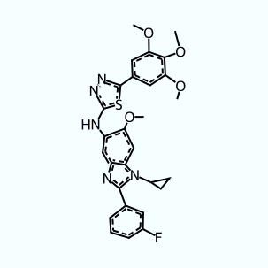 COc1cc2c(cc1Nc1nnc(-c3cc(OC)c(OC)c(OC)c3)s1)nc(-c1cccc(F)c1)n2C1CC1